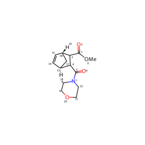 COC(=O)C1C(C(=O)N2CCOCC2)[C@H]2C=C[C@H]1C2